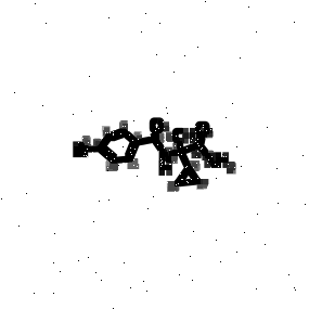 CC(NC(=O)c1ccc(Br)cc1)(C(N)=O)C1CC1